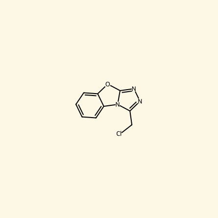 ClCc1nnc2oc3ccccc3n12